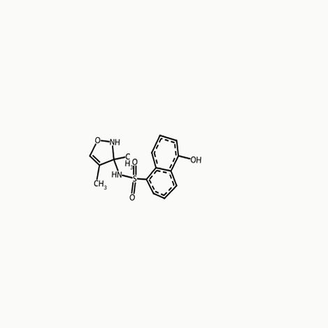 CC1=CONC1(C)NS(=O)(=O)c1cccc2c(O)cccc12